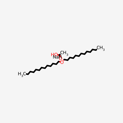 CC(=O)O.CCCCCCCCCCCCCOCCCCCCCCCCCCC.[NaH]